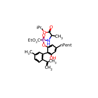 C=C(C)c1ccc(C)cc1-c1c(O)cc(CCCCC)cc1OP(=O)(NC(C)C(=O)OC(C)C)C(=O)OCC